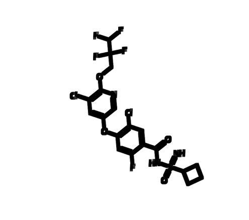 N=S(=O)(NC(=O)c1cc(Cl)c(Oc2cnc(OCC(F)(F)C(F)F)c(Cl)c2)cc1F)C1CCC1